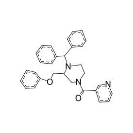 O=C(c1cccnc1)N1CCN(C(c2ccccc2)c2ccccc2)C(COc2ccccc2)C1